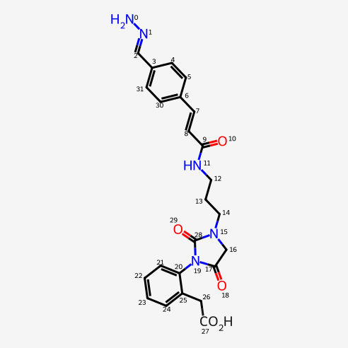 NN=Cc1ccc(C=CC(=O)NCCCN2CC(=O)N(c3ccccc3CC(=O)O)C2=O)cc1